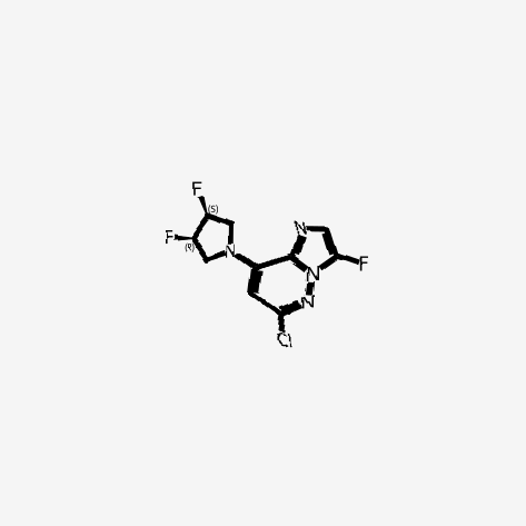 Fc1cnc2c(N3C[C@@H](F)[C@@H](F)C3)cc(Cl)nn12